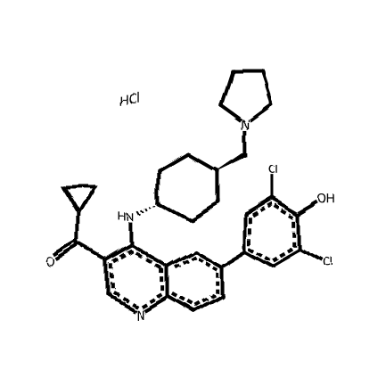 Cl.O=C(c1cnc2ccc(-c3cc(Cl)c(O)c(Cl)c3)cc2c1N[C@H]1CC[C@H](CN2CCCC2)CC1)C1CC1